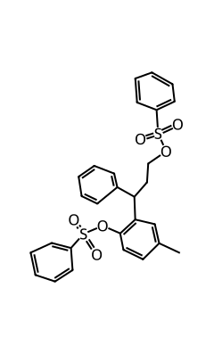 Cc1ccc(OS(=O)(=O)c2ccccc2)c(C(CCOS(=O)(=O)c2ccccc2)c2ccccc2)c1